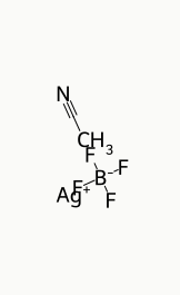 CC#N.F[B-](F)(F)F.[Ag+]